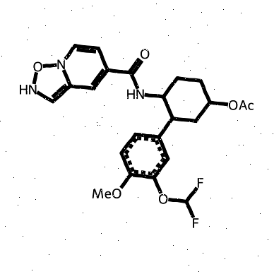 COc1ccc(C2CC(OC(C)=O)CCC2NC(=O)C2=CC3=CNON3C=C2)cc1OC(F)F